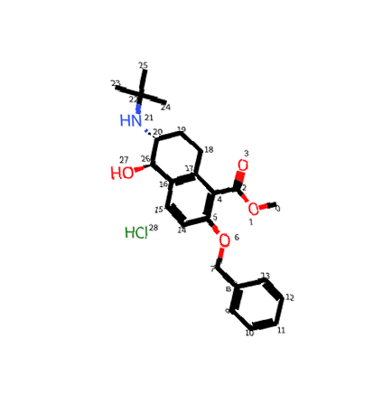 COC(=O)c1c(OCc2ccccc2)ccc2c1CC[C@@H](NC(C)(C)C)[C@@H]2O.Cl